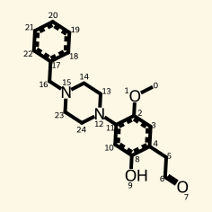 COc1cc(CC=O)c(O)cc1N1CCN(Cc2ccccc2)CC1